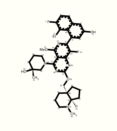 CCc1c(F)ccc2cc(O)cc(-c3nc(OC)c4c(N5CCC[C@@](C)(O)C5)nc(OC[C@]56CCC[C@H]5N(C)CCC6)nc4c3F)c12